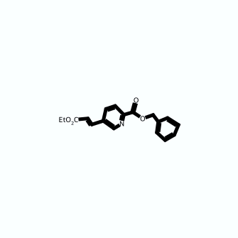 CCOC(=O)/C=C/c1ccc(C(=O)OCc2ccccc2)nc1